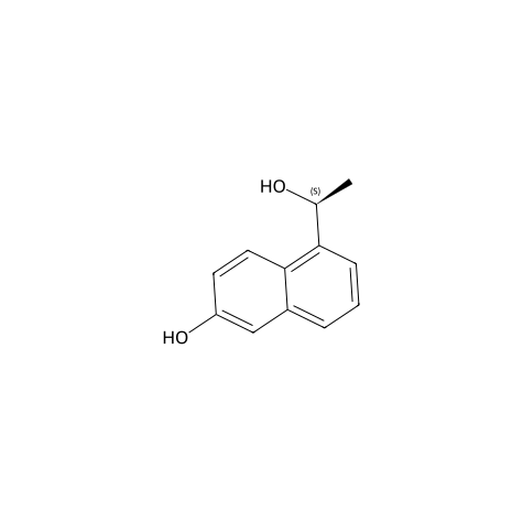 C[C@H](O)c1cccc2cc(O)ccc12